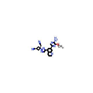 COc1nc(-c2cc(-c3cnn([C@]4(CC#N)C[C@@H](C#N)C4)n3)c3cccnc3c2)cnc1N